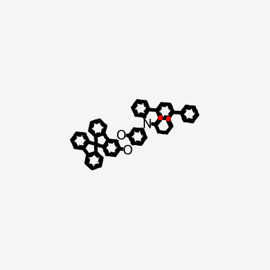 C1=CCCC(N(c2ccc3c(c2)Oc2c(ccc4c2-c2ccccc2C42c4ccccc4-c4ccccc42)O3)c2ccccc2-c2ccc(-c3ccccc3)cc2)=C1